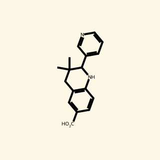 CC1(C)Cc2cc(C(=O)O)ccc2NC1c1cccnc1